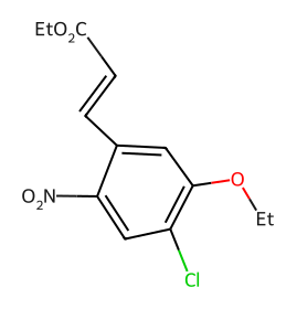 CCOC(=O)C=Cc1cc(OCC)c(Cl)cc1[N+](=O)[O-]